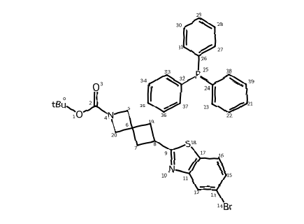 CC(C)(C)OC(=O)N1CC2(CC(c3nc4cc(Br)ccc4s3)C2)C1.c1ccc(P(c2ccccc2)c2ccccc2)cc1